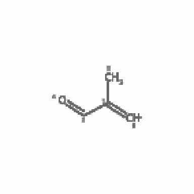 [CH]=C(C)C=O